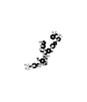 CC(C)c1ccccc1[C@@H]1CCCN1C1CC2(CCN(c3cc(N4CCOc5nc6[nH]ccc6cc54)c(C(=O)NS(=O)(=O)c4cc(N=O)c(NCC5(F)CCN(C(C)C)CC5)c5[nH]cnc45)cc3F)CC2)C1